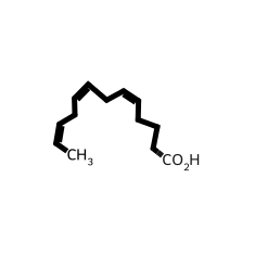 C/C=C\C/C=C\C/C=C\CCCC(=O)O